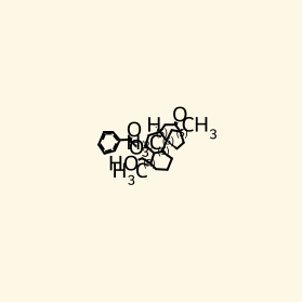 C[C@]12CC[C@]3(C1)[C@H](CC2=O)C[C@@H](OC(=O)c1ccccc1)C1[C@](C)(CO)CCC[C@@]13C